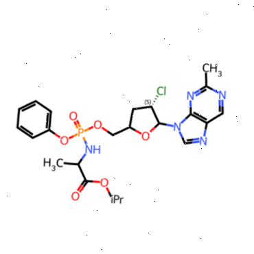 Cc1ncc2ncn(C3OC(COP(=O)(NC(C)C(=O)OC(C)C)Oc4ccccc4)C[C@@H]3Cl)c2n1